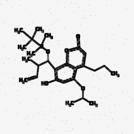 C=CC(C)C(O[Si](C)(C)C(C)(C)C)c1c(O)cc(OC(C)C)c2c(CCC)cc(=O)oc12